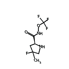 CC1(F)CN[C@H](C(=O)NOC(F)(F)F)C1